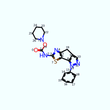 O=C(Nc1nc2c(s1)-c1c(cnn1-c1ccccc1)C2)ON1CCCCC1